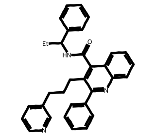 CCC(NC(=O)c1c(CCCc2cccnc2)c(-c2ccccc2)nc2ccccc12)c1ccccc1